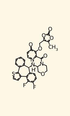 Cc1oc(=O)oc1COc1c2n(ccc1=O)N([C@@H]1c3ccccc3-c3sccc3-c3c1ccc(F)c3F)[C@@H]1COCCN1C2=O